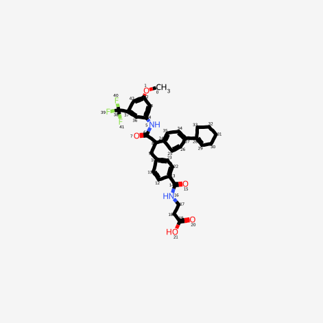 COc1cc(NC(=O)C(Cc2ccc(C(=O)NCCC(=O)O)cc2)c2ccc(C3=CCCCC3)cc2)cc(C(F)(F)F)c1